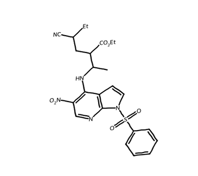 CCOC(=O)C(CC(C#N)CC)C(C)Nc1c([N+](=O)[O-])cnc2c1ccn2S(=O)(=O)c1ccccc1